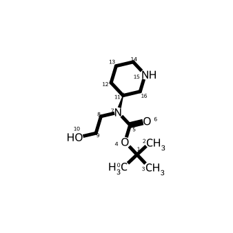 CC(C)(C)OC(=O)N(CCO)[C@H]1CCCNC1